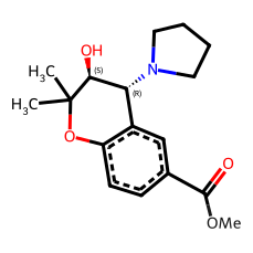 COC(=O)c1ccc2c(c1)[C@@H](N1CCCC1)[C@H](O)C(C)(C)O2